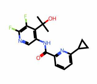 CC(C)(O)c1c(NC(=O)c2cccc(C3CC3)n2)cnc(F)c1F